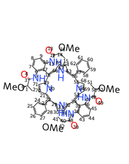 CO[C@H](C)C(=O)Nc1cccc(NC(=O)[C@@H](C)OC)c1-c1c2nc(c(-c3ccccc3)c3ccc([nH]3)c(-c3c(NC(=O)[C@@H](C)OC)cccc3NC(=O)[C@@H](C)OC)c3nc(c(-c4ccccc4)c4ccc1[nH]4)C=C3)C=C2